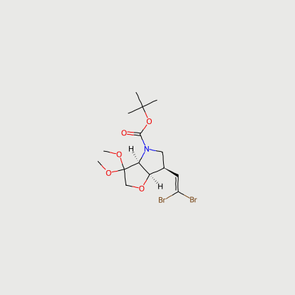 COC1(OC)CO[C@@H]2[C@H](C=C(Br)Br)CN(C(=O)OC(C)(C)C)[C@@H]21